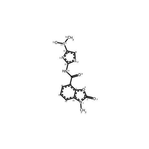 Cn1c(=O)oc2c(C(=O)Nc3nc([S+](C)[O-])cs3)cccc21